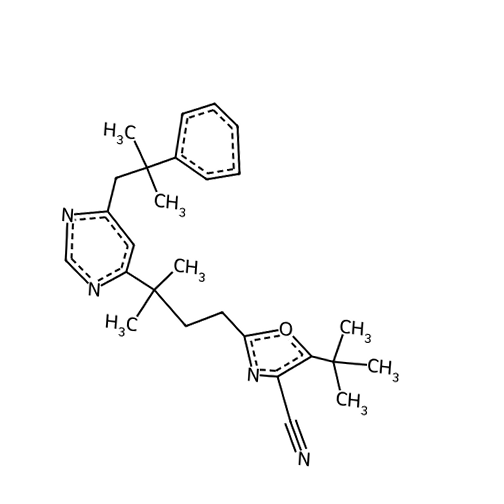 CC(C)(C)c1oc(CCC(C)(C)c2cc(CC(C)(C)c3ccccc3)ncn2)nc1C#N